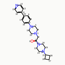 O=C(CN1CCN(c2ccc(-c3ccncc3)cc2)CC1)N1CCN(C2CCC2)CC1